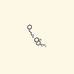 CN1CCN2C[C@H](COCCCN3CCCCC3)CC[C@H]2C1